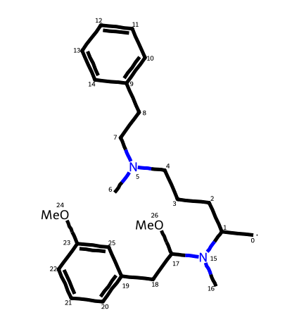 [CH2]C(CCCN(C)CCc1ccccc1)N(C)C(Cc1cccc(OC)c1)OC